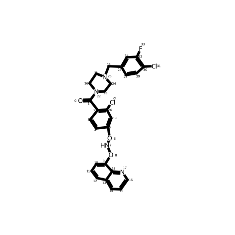 O=C(c1ccc(ONOc2cccc3cccnc23)cc1Cl)N1CCN(Cc2ccc(Cl)c(F)c2)CC1